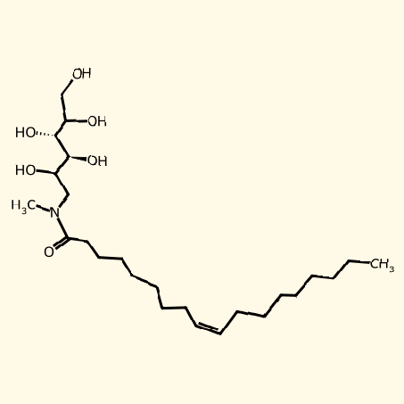 CCCCCCCC/C=C\CCCCCCCC(=O)N(C)CC(O)[C@H](O)[C@H](O)C(O)CO